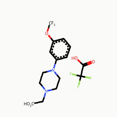 O=C(O)C(F)(F)F.O=C(O)CN1CCN(c2cccc(OC(F)(F)F)c2)CC1